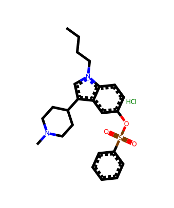 CCCCn1cc(C2CCN(C)CC2)c2cc(OS(=O)(=O)c3ccccc3)ccc21.Cl